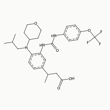 CC(C)CN(c1ccc(C(C)CC(=O)O)cc1NC(=O)Nc1ccc(OC(F)(F)F)cc1)C1CCOCC1